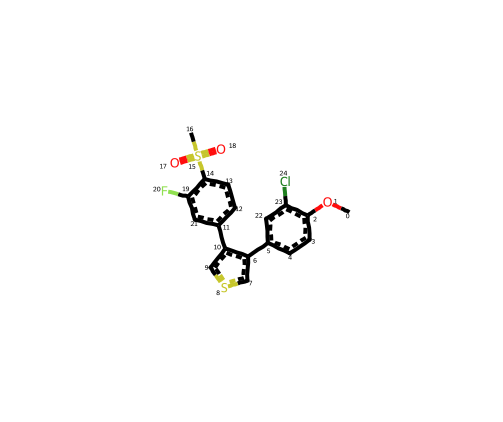 COc1ccc(-c2cscc2-c2ccc(S(C)(=O)=O)c(F)c2)cc1Cl